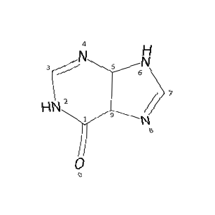 O=C1NC=NC2NC=NC12